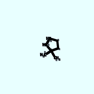 CC1(C)CCNN1